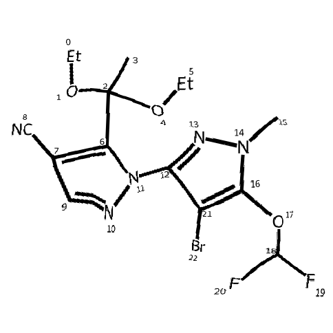 CCOC(C)(OCC)c1c(C#N)cnn1-c1nn(C)c(OC(F)F)c1Br